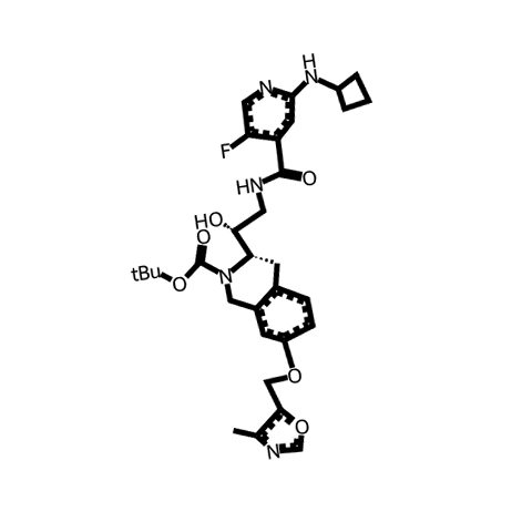 Cc1ncoc1COc1ccc2c(c1)CN(C(=O)OC(C)(C)C)[C@H]([C@H](O)CNC(=O)c1cc(NC3CCC3)ncc1F)C2